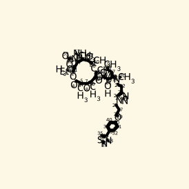 CC[C@H]1OC(=O)[C@H](C)C(=O)[C@H](C)[C@@H](O[C@@H]2O[C@H](C)C[C@H](N(C)CCc3cn(CCCOc4ccc(-c5csnn5)cc4)nn3)[C@H]2O)[C@](C)(OC)C[C@@H](C)C(=O)[C@H](C)[C@H]2N(N)C(=O)O[C@]12C